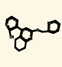 N#Cc1ncccc1-c1cc(OCc2ccccn2)nc2c1CCCC2